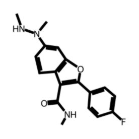 CNC(=O)c1c(-c2ccc(F)cc2)oc2cc(N(C)NC)ccc12